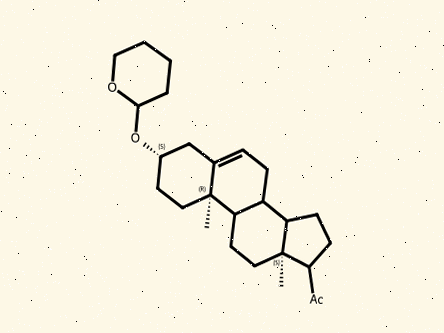 CC(=O)C1CCC2C3CC=C4C[C@@H](OC5CCCCO5)CC[C@]4(C)C3CC[C@]12C